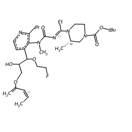 C=C(/C=C\C)OCC(O)C(OCCF)c1ccnc(C(C)C)c1N(C)C(=O)/N=C(\CC)N1CCN(C(=O)OC(C)(C)C)C[C@@H]1C